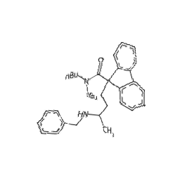 CCCCN(CCCC)C(=O)C1(CCC(C)NCc2ccccc2)c2ccccc2-c2ccccc21